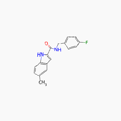 Cc1ccc2[nH]c(C(=O)NCc3ccc(F)cc3)cc2c1